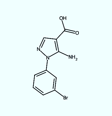 Nc1c(C(=O)O)cnn1-c1cccc(Br)c1